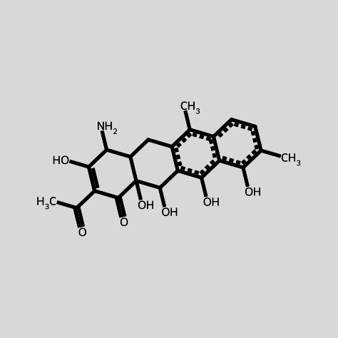 CC(=O)C1=C(O)C(N)C2Cc3c(c(O)c4c(O)c(C)ccc4c3C)C(O)C2(O)C1=O